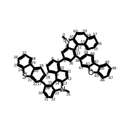 Cn1c2cc(-c3cccc4c3ccc3c4c4c(-c5ccc6c(c5)sc5ccccc56)cccc4n3C)cc(-c3ccc4c(c3)oc3ccccc34)c2c2c3ccccc3ccc21